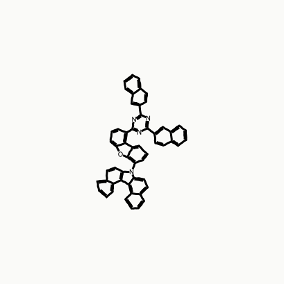 c1ccc2cc(-c3nc(-c4ccc5ccccc5c4)nc(-c4cccc5oc6c(-n7c8ccc9ccccc9c8c8c9ccccc9ccc87)cccc6c45)n3)ccc2c1